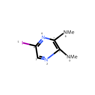 CNc1ncc(I)nc1NC